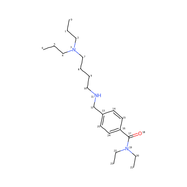 CCCN(CCC)CCCCNCc1ccc(C(=O)N(CC)CC)cc1